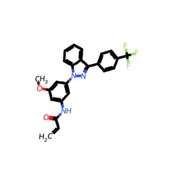 C=CC(=O)Nc1cc(OC)cc(-n2nc(-c3ccc(C(F)(F)F)cc3)c3ccccc32)c1